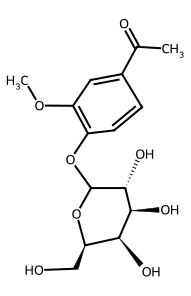 COc1cc(C(C)=O)ccc1OC1O[C@H](CO)[C@H](O)[C@H](O)[C@H]1O